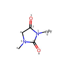 CCCN1C(=O)CN(C)C1=O